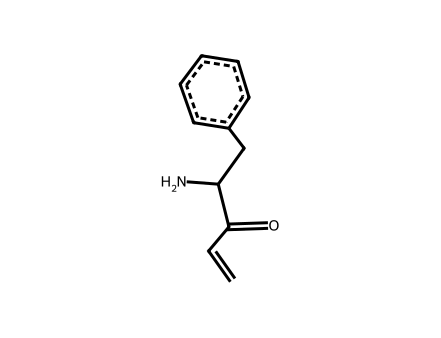 C=CC(=O)C(N)Cc1ccccc1